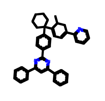 CC1CC(c2ccccn2)=CC=C1C1(c2ccc(-c3nc(-c4ccccc4)cc(-c4ccccc4)n3)cc2)CCCCC1